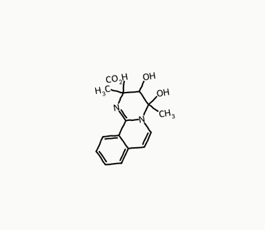 CC1(C(=O)O)N=C2c3ccccc3C=CN2C(C)(O)C1O